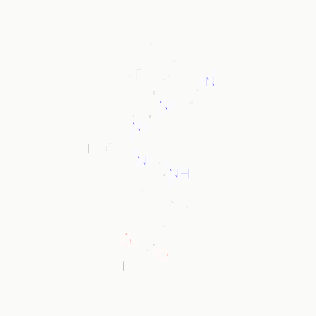 Cc1nc(Nc2ccc(S(C)(=O)=O)cc2)c2ccc(-c3ncccc3C(F)(F)F)nc2n1